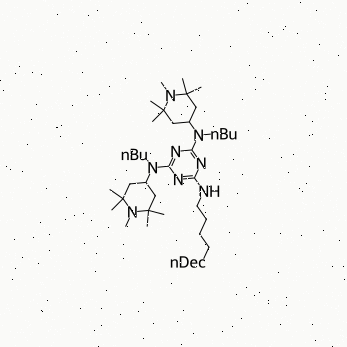 CCCCCCCCCCCCCCNc1nc(N(CCCC)C2CC(C)(C)N(C)C(C)(C)C2)nc(N(CCCC)C2CC(C)(C)N(C)C(C)(C)C2)n1